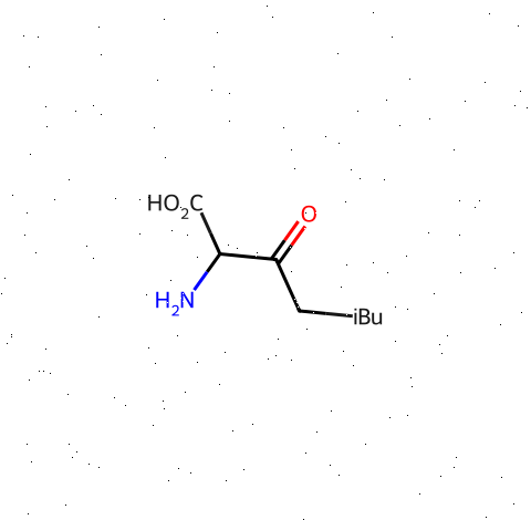 CCC(C)CC(=O)C(N)C(=O)O